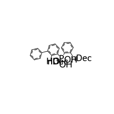 CCCCCCCCCCc1ccccc1P(O)(O)(O)c1cccc(-c2ccccc2)c1CCCCCCCCCC